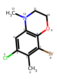 Cc1c(Cl)cc2c(c1Br)OCCN2C